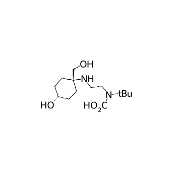 CC(C)(C)N(CCN[C@]1(CO)CC[C@H](O)CC1)C(=O)O